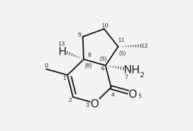 CC1=COC(=O)[C@@]2(N)[C@@H]1CC[C@@H]2C